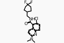 CN(C)c1ccc2c(C(=O)NCC3CCC(F)(F)CC3)c(Cl)ccc2n1